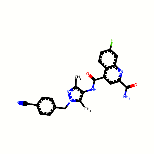 Cc1nn(Cc2ccc(C#N)cc2)c(C)c1NC(=O)c1cc(C(N)=O)nc2cc(F)ccc12